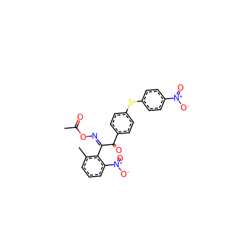 CC(=O)O/N=C(/C(=O)c1ccc(Sc2ccc([N+](=O)[O-])cc2)cc1)c1c(C)cccc1[N+](=O)[O-]